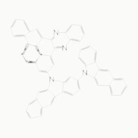 c1ccc2cc3c(cc2c1)c1ccccc1n3-c1ccc2c3cc4ccccc4cc3n(-c3cc(-c4nc5ccccc5nc4-c4cc5ccccc5c5ccccc45)c4ccccc4c3)c2c1